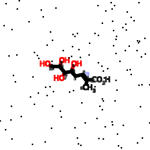 C/C(=C\CC(O)C(O)C(O)CO)C(=O)O